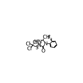 CC1NN(SC(Cl)(Cl)Cl)C(=O)N1c1ccccc1F